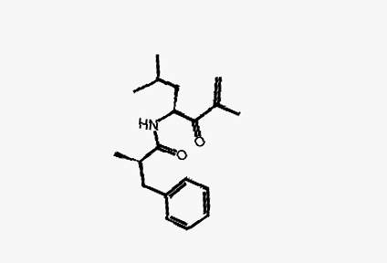 C=C(C)C(=O)[C@H](CC(C)C)NC(=O)[C@H](C)Cc1ccccc1